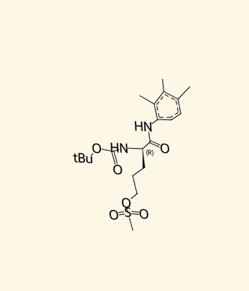 Cc1ccc(NC(=O)[C@@H](CCCOS(C)(=O)=O)NC(=O)OC(C)(C)C)c(C)c1C